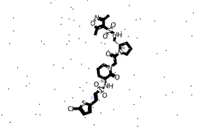 Cc1noc(C)c1S(=O)(=O)NC[C@@H]1CCCN1C(=O)CN1CCC[C@H](NS(=O)(=O)/C=C/c2ccc(Cl)s2)C1=O